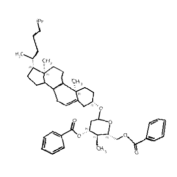 CC(C)CCCC(C)[C@H]1CCC2C3CC=C4C[C@@H](OC5C[C@@H](OC(=O)c6ccccc6)[C@H](C)[C@@H](COC(=O)c6ccccc6)O5)CC[C@]4(C)C3CC[C@@]21C